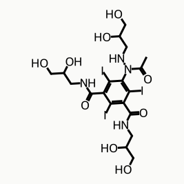 CC(=O)N(NCC(O)CO)c1c(I)c(C(=O)NCC(O)CO)c(I)c(C(=O)NCC(O)CO)c1I